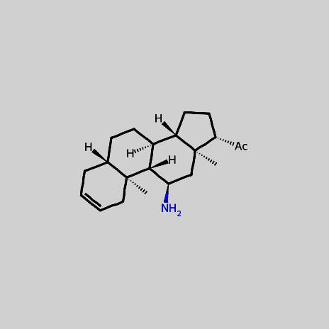 CC(=O)[C@H]1CC[C@H]2[C@@H]3CC[C@H]4CC=CC[C@]4(C)[C@H]3[C@H](N)C[C@]12C